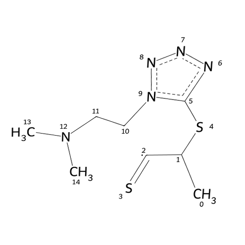 CC([C]=S)Sc1nnnn1CCN(C)C